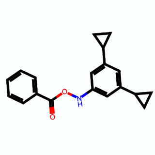 O=C(ONc1cc(C2CC2)cc(C2CC2)c1)c1ccccc1